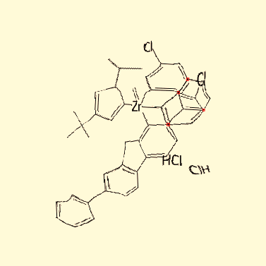 Cl.Cl.[CH2]=[Zr]([C]1=CC(C(C)(C)C)=CC1C(C)C)([c]1cccc(Cl)c1)([c]1cccc(Cl)c1)[c]1c(-c2ccccc2)ccc2c1Cc1cc(-c3ccccc3)ccc1-2